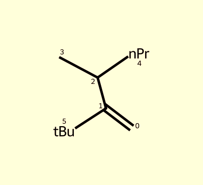 C=C(C(C)CCC)C(C)(C)C